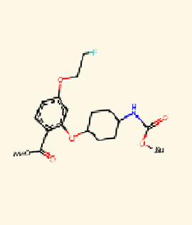 COC(=O)c1ccc(OCCF)cc1OC1CCC(NC(=O)OC(C)(C)C)CC1